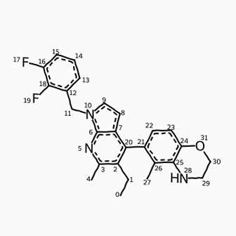 CCc1c(C)nc2c(ccn2Cc2cccc(F)c2F)c1-c1ccc2c(c1C)NCCO2